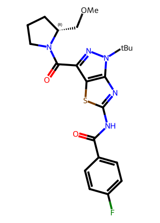 COC[C@H]1CCCN1C(=O)c1nn(C(C)(C)C)c2nc(NC(=O)c3ccc(F)cc3)sc12